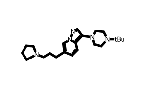 CC(C)(C)N1CCN(c2cnn3cc(CCCN4CCCC4)ccc23)CC1